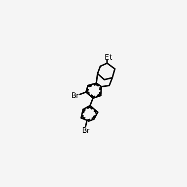 CCC1CC2Cc3cc(-c4ccc(Br)cc4)c(Br)cc3C(C1)C2